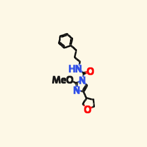 COc1nc(C2CCOC2)cn1C(=O)NCCCc1ccccc1